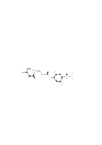 Cc1cc(NC(=O)CCn2ncc(Cl)c(Cl)c2=O)c(O)cc1S(=O)(=O)N(C)C